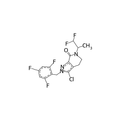 CC(C(F)F)N1CCc2c(nn(Cc3c(F)cc(F)cc3F)c2Cl)C1=O